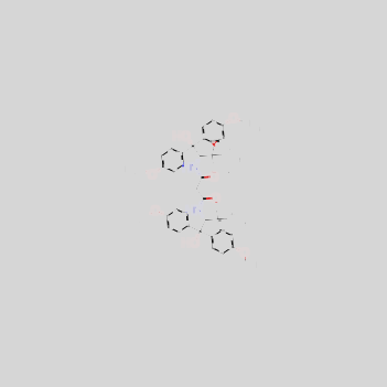 COc1ccc(C(O)(c2ccc(OC)cc2)[C@H](NC(=O)CC(=O)N[C@H](C(C)(C)C)C(O)(c2ccc(OC)cc2)c2ccc(OC)cc2)C(C)(C)C)cc1